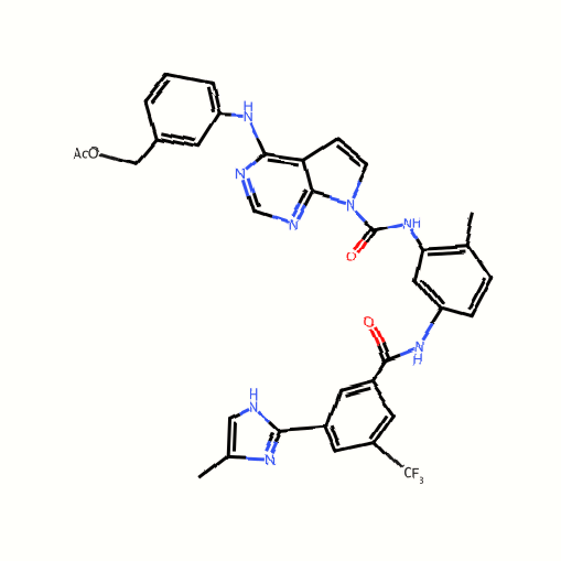 CC(=O)OCc1cccc(Nc2ncnc3c2ccn3C(=O)Nc2cc(NC(=O)c3cc(-c4nc(C)c[nH]4)cc(C(F)(F)F)c3)ccc2C)c1